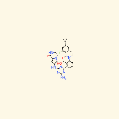 Nc1nc(Nc2cc3n(c2)CCNC3=O)nc(-c2cccc(N3CCc4cc(C5CC5)cc(F)c4C3=O)c2CO)n1